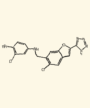 CCCc1ccc(NCc2cc3oc(-c4nnn[nH]4)cc3cc2Cl)cc1Cl